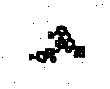 O=C(CC(Cc1cccc(Br)c1)n1cc(CNC(=O)c2ccc(F)cc2)nn1)NO